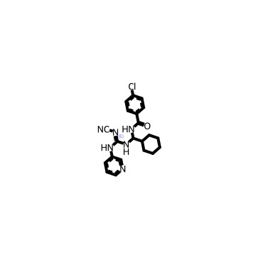 N#C/N=C(\Nc1cccnc1)NC(NC(=O)c1ccc(Cl)cc1)C1CCCCC1